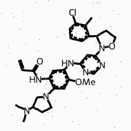 C=CC(=O)Nc1cc(Nc2cc(N3OCCC3c3cccc(Cl)c3C)ncn2)c(OC)cc1N1CCC(N(C)C)C1